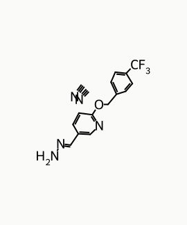 C#N.C#N.NN=Cc1ccc(OCc2ccc(C(F)(F)F)cc2)nc1